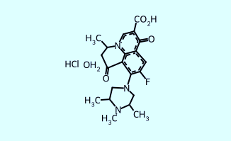 CC1CN(c2c(F)cc3c(=O)c(C(=O)O)cn4c3c2C(=O)CC4C)CC(C)N1C.Cl.O